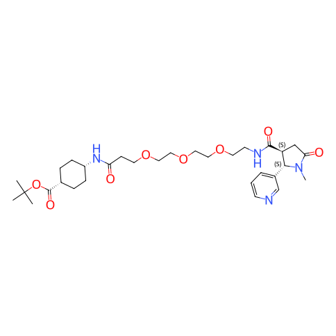 CN1C(=O)C[C@H](C(=O)NCCOCCOCCOCCC(=O)N[C@H]2CC[C@@H](C(=O)OC(C)(C)C)CC2)[C@H]1c1cccnc1